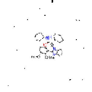 COc1cccc(-c2nc3ccccc3n2[C@H](C(=O)NC2CCCCC2)C2CCCCC2)c1OC